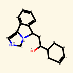 OC(CC1c2ccccc2C2=CNCN21)C1CC=CCC1